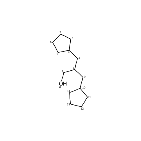 OCC(CC1CCCC1)CC1CCCC1